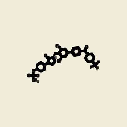 CS(=O)(=O)OC1CCC(N2CC[C@@H](Cc3c(Cl)cc(-c4ccc(C(=O)N5CCC(C(F)(F)F)CC5)cc4)cc3Cl)C2=O)CC1